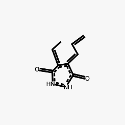 C=C/C=c1/c(=O)[nH][nH]c(=O)/c1=C/C